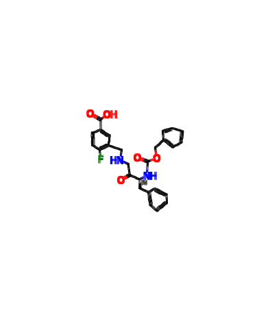 O=C(N[C@@H](Cc1ccccc1)C(=O)CNCc1cc(C(=O)O)ccc1F)OCc1ccccc1